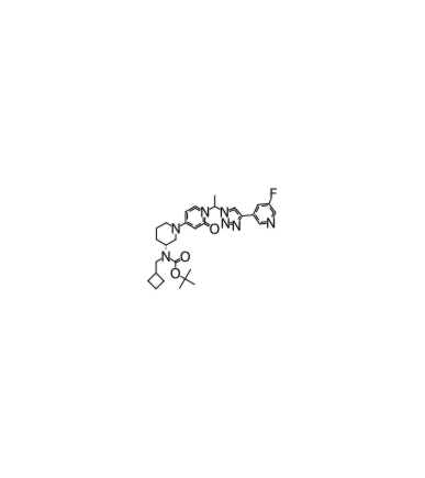 CC(n1cc(-c2cncc(F)c2)nn1)n1ccc(N2CCC[C@@H](N(CC3CCC3)C(=O)OC(C)(C)C)C2)cc1=O